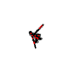 CCCCCCCCCCCCC/C=C/[C@@H](OC(=O)c1ccccc1)[C@H](CO[C@@H]1O[C@H](COC(=O)OC(C)(C)C)[C@H](OC(=O)OC(C)(C)C)[C@H](OC(OC)OC)[C@H]1OC)NC(=O)CCCCCCCCCCCCCCC